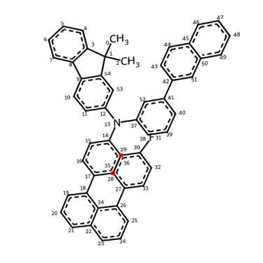 CC1(C)c2ccccc2-c2ccc(N(c3ccc(-c4cccc5cccc(-c6ccc(F)cc6)c45)cc3)c3cccc(-c4ccc5ccccc5c4)c3)cc21